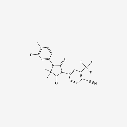 Cc1ccc(N2C(=S)N(c3ccc(C#N)c(C(F)(F)F)c3)C(=O)C2(C)C)cc1F